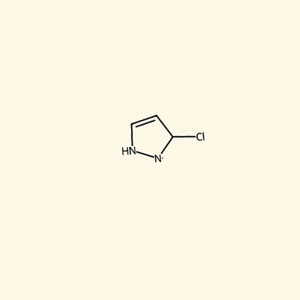 ClC1C=CN[N]1